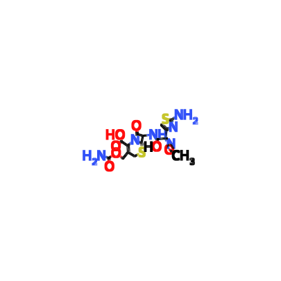 CO/N=C(\C(=O)NC1C(=O)N2C(C(=O)O)=C(COC(N)=O)CS[C@H]12)c1csc(N)n1